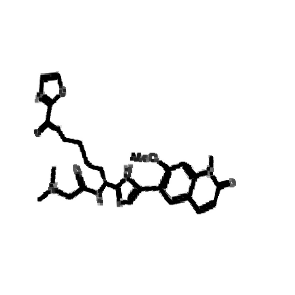 COc1cc2c(ccc(=O)n2C)cc1-c1cnc([C@H](CCCCCC(=O)c2ncco2)NC(=O)CN(C)C)[nH]1